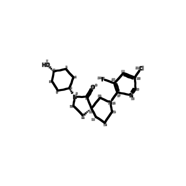 O=C1N([C@H]2CC[C@@H](O)CC2)CC[C@]12CCCN(c1ncc(Cl)cc1F)C2